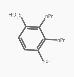 CCCc1ccc(S(=O)(=O)O)c(CCC)c1CCC